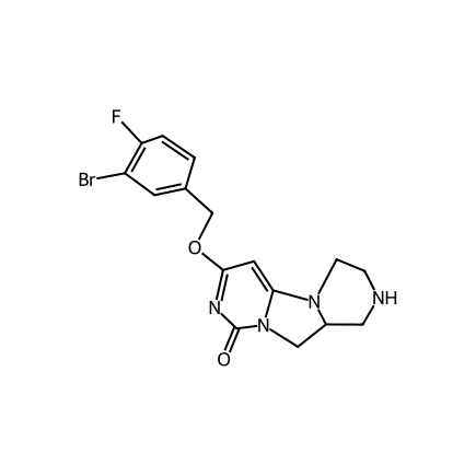 O=c1nc(OCc2ccc(F)c(Br)c2)cc2n1CC1CNCCN21